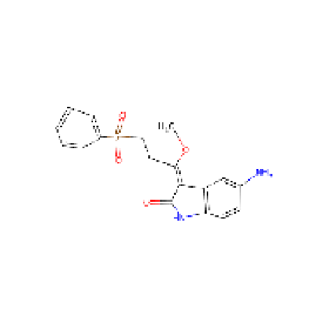 COC(CCS(=O)(=O)c1ccccc1)=C1C(=O)Nc2ccc(N)cc21